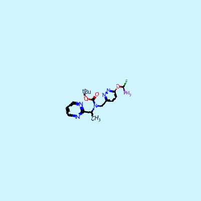 CC(c1ncccn1)N(Cc1ccc(OC(F)P)nn1)C(=O)OC(C)(C)C